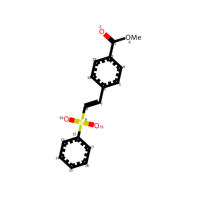 COC(=O)c1ccc(/C=C/S(=O)(=O)c2ccccc2)cc1